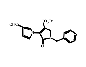 CCOC(=O)C1=C(n2ccc(C=O)c2)C(=O)N(Cc2ccccc2)C1